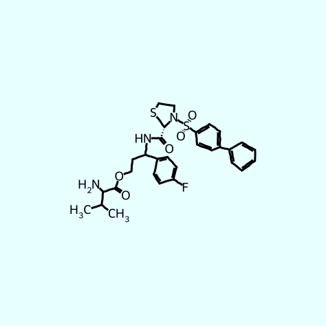 CC(C)C(N)C(=O)OCCC(NC(=O)[C@@H]1SCCN1S(=O)(=O)c1ccc(-c2ccccc2)cc1)c1ccc(F)cc1